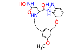 COc1cc2cc(c1)COc1cccc(N)c1NC(=O)C(CC(=O)NO)NCCC2